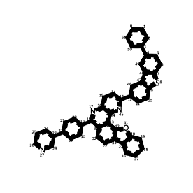 c1ccc(-c2ccc3sc4ccc(-c5ccc6nc(-c7ccc(-c8cccnc8)cc7)c7ccc8c9ccccc9oc8c7c6n5)cc4c3c2)cc1